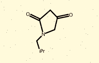 CC(C)CN1CC(=O)CC1=O